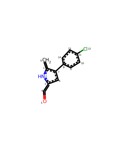 C=c1[nH]c(=C=O)cc1-c1ccc(Cl)cc1